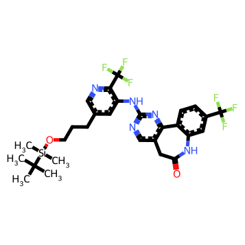 CC(C)(C)[Si](C)(C)OCCCc1cnc(C(F)(F)F)c(Nc2ncc3c(n2)-c2ccc(C(F)(F)F)cc2NC(=O)C3)c1